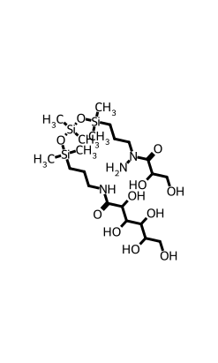 C[Si](C)(CCCNC(=O)C(O)C(O)C(O)C(O)CO)O[Si](C)(C)O[Si](C)(C)CCCN(N)C(=O)C(O)CO